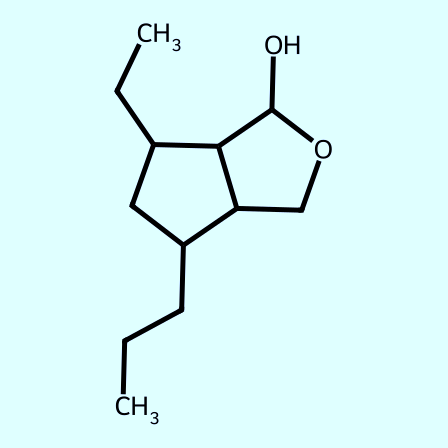 CCCC1CC(CC)C2C(O)OCC12